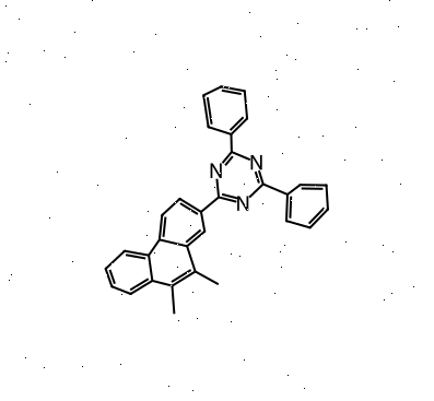 Cc1c(C)c2cc(-c3nc(-c4ccccc4)nc(-c4ccccc4)n3)ccc2c2ccccc12